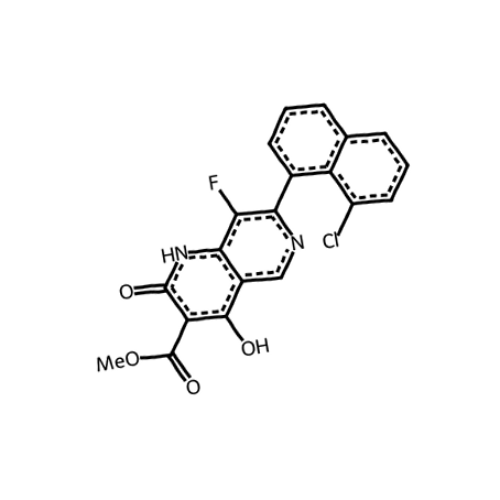 COC(=O)c1c(O)c2cnc(-c3cccc4cccc(Cl)c34)c(F)c2[nH]c1=O